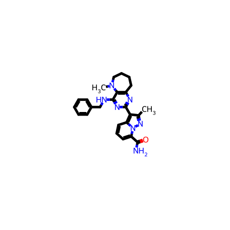 Cc1nn2c(C(N)=O)cccc2c1-c1nc2c(c(NCc3ccccc3)n1)N(C)CCCC2